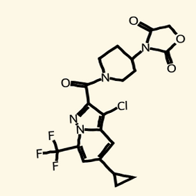 O=C(c1nn2c(C(F)(F)F)cc(C3CC3)cc2c1Cl)N1CCC(N2C(=O)COC2=O)CC1